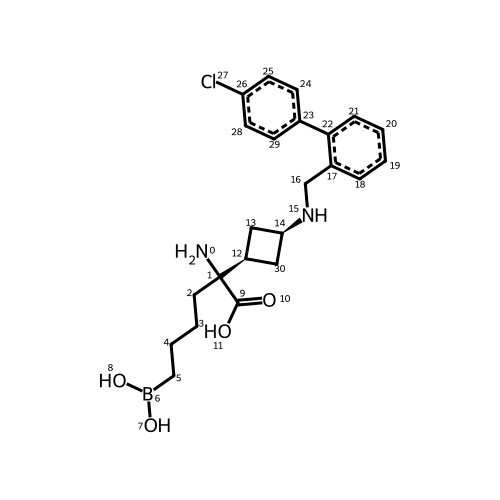 NC(CCCCB(O)O)(C(=O)O)[C@H]1C[C@@H](NCc2ccccc2-c2ccc(Cl)cc2)C1